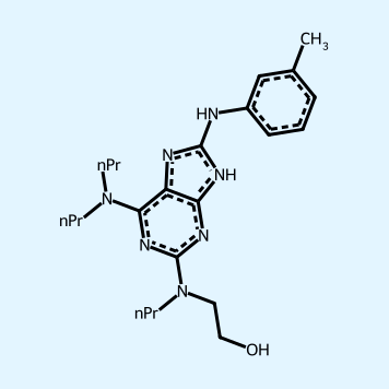 CCCN(CCO)c1nc(N(CCC)CCC)c2nc(Nc3cccc(C)c3)[nH]c2n1